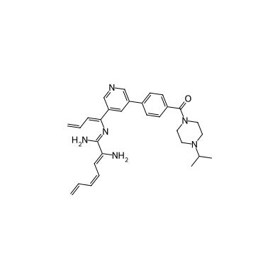 C=C\C=C/C=C(N)/C(N)=N/C(=C\C=C)c1cncc(-c2ccc(C(=O)N3CCN(C(C)C)CC3)cc2)c1